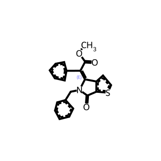 COC(=O)/C(=C1\c2ccsc2C(=O)N1Cc1ccccc1)c1ccccc1